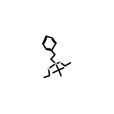 CCO[Si](CCc1ccccc1)(OCC)C(C)(C)C